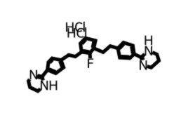 Cl.Cl.Fc1c(CCc2ccc(C3=NCCCN3)cc2)cccc1CCc1ccc(C2=NCCCN2)cc1